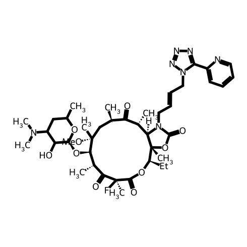 CC[C@H]1OC(=O)[C@@](C)(F)C(=O)[C@H](C)[C@@H](O[C@@H]2OC(C)CC(N(C)C)C2O)[C@](C)(OC)C[C@@H](C)C(=O)[C@H](C)[C@H]2N(C/C=C/Cn3nnnc3-c3ccccn3)C(=O)O[C@]12C